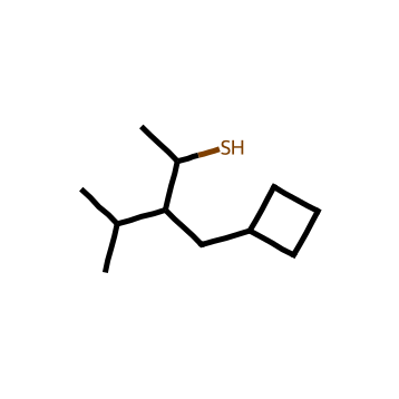 CC(C)C(CC1CCC1)C(C)S